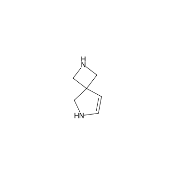 C1=CC2(CN1)CNC2